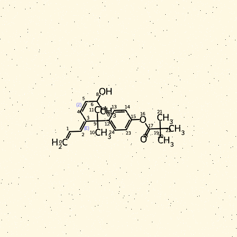 C=C/C=C(\C=C/C(C)O)C(C)(C)c1ccc(OC(=O)C(C)(C)C)cc1